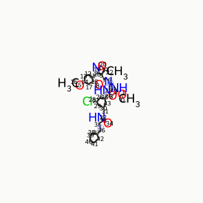 COC(=O)N/C(=N/C(=O)c1c(-c2ccc(OC)cc2)noc1C)NCc1cc(Cl)cc(CNC(=O)/C=C/c2ccccc2)c1